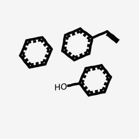 C=Cc1ccccc1.Oc1ccccc1.c1ccccc1